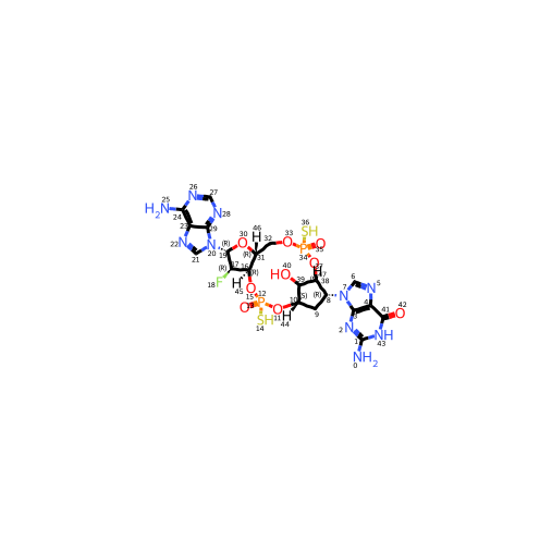 Nc1nc2c(ncn2[C@@H]2C[C@@H]3OP(=O)(S)O[C@H]4[C@@H](F)[C@H](n5cnc6c(N)ncnc65)O[C@@H]4COP(=O)(S)O[C@@H]2C3O)c(=O)[nH]1